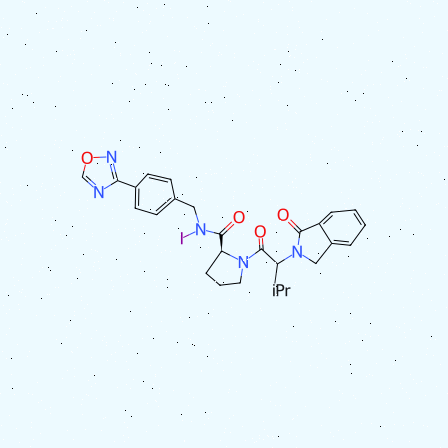 CC(C)C(C(=O)N1CCC[C@H]1C(=O)N(I)Cc1ccc(-c2ncon2)cc1)N1Cc2ccccc2C1=O